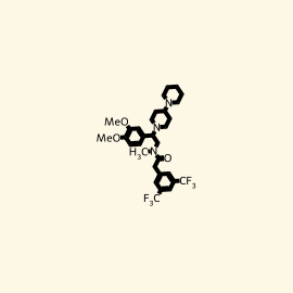 COc1ccc(C(CN(C)C(=O)Cc2cc(C(F)(F)F)cc(C(F)(F)F)c2)N2CCC(N3CCCCC3)CC2)cc1OC